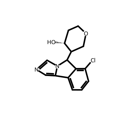 O[C@@H]1CCOCC1C1c2c(Cl)cccc2-c2cncn21